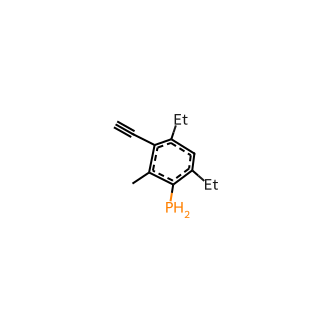 C#Cc1c(CC)cc(CC)c(P)c1C